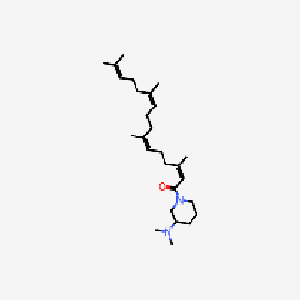 CC(C)=CCCC(C)=CCCC(C)=CCCC(C)=CC(=O)N1CCCC(N(C)C)C1